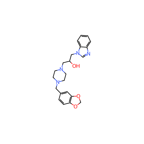 OC(CN1CCN(Cc2ccc3c(c2)OCO3)CC1)Cn1cnc2ccccc21